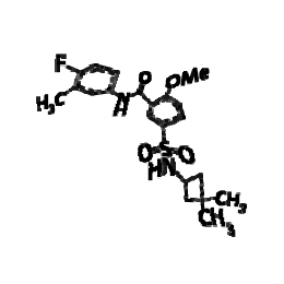 COc1ccc(S(=O)(=O)NC2CC(C)(C)C2)cc1C(=O)Nc1ccc(F)c(C)c1